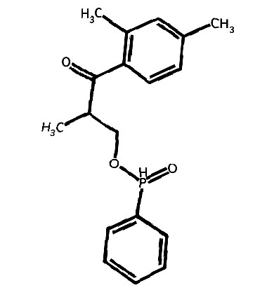 Cc1ccc(C(=O)C(C)CO[PH](=O)c2ccccc2)c(C)c1